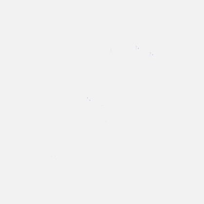 O=Cc1cccc(NC(=O)c2ccc3c(c2)C(Cl)=N[N]C3)c1